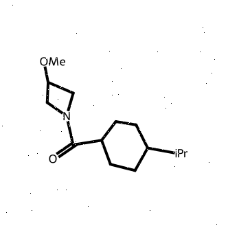 COC1CN(C(=O)C2CCC(C(C)C)CC2)C1